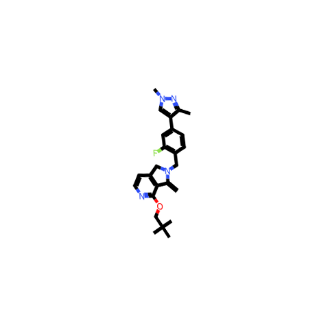 C=C1c2c(ccnc2OCC(C)(C)C)CN1Cc1ccc(-c2cn(C)nc2C)cc1F